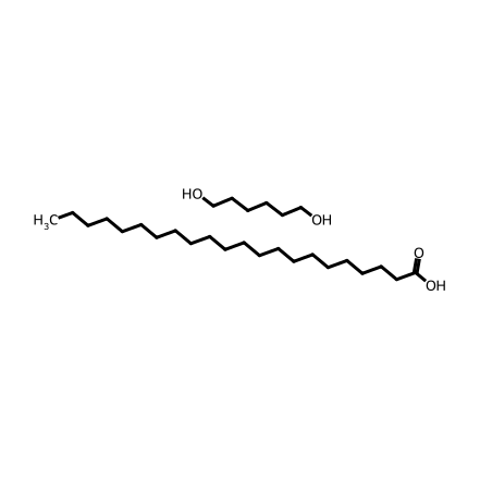 CCCCCCCCCCCCCCCCCCCCCC(=O)O.OCCCCCCO